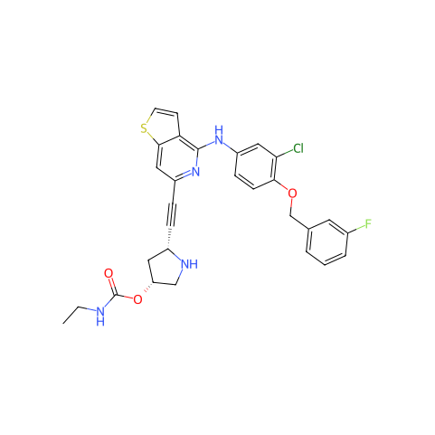 CCNC(=O)O[C@H]1CN[C@@H](C#Cc2cc3sccc3c(Nc3ccc(OCc4cccc(F)c4)c(Cl)c3)n2)C1